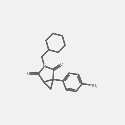 Nc1ccc(C23CC2C(=O)N(CC2CCCCC2)C3=O)cc1